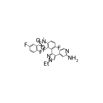 CCn1cc(-c2ccnc(N)c2)c(-c2c(F)ccc(N(C)S(=O)(=O)c3cc(F)ccc3F)c2F)n1